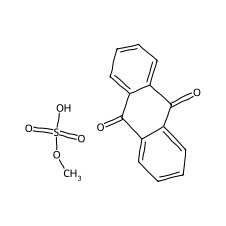 COS(=O)(=O)O.O=C1c2ccccc2C(=O)c2ccccc21